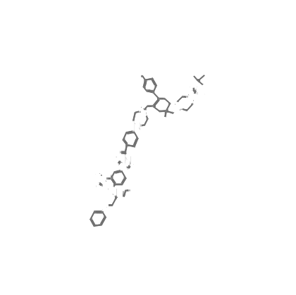 COCC[C@H](CSc1ccccc1)Nc1ccc(S(=O)(=O)NC(=O)c2ccc(N3CCN(CC4=C(c5ccc(Cl)cc5)CCC(C)(CN5CCN(C(=O)OC(C)(C)C)CC5)C4)CC3)cc2)cc1[N+](=O)[O-]